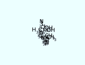 Cc1cc(C#N)ccc1C(CC(O)O)c1ccc2c(c1)C(N1Cc3cccnc3OC(C)(C)C1)CC2